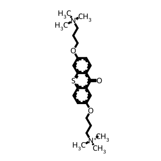 C[N+](C)(C)CCCOc1ccc2c(=O)c3cc(OCCC[N+](C)(C)C)ccc3sc2c1